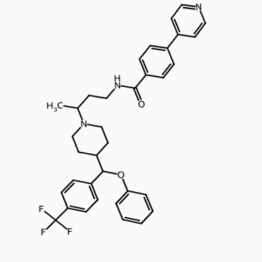 CC(CCNC(=O)c1ccc(-c2ccncc2)cc1)N1CCC(C(Oc2ccccc2)c2ccc(C(F)(F)F)cc2)CC1